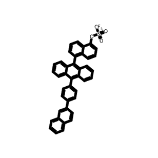 O=S(=O)(Oc1cccc2c(-c3c4ccccc4c(-c4ccc(-c5ccc6ccccc6c5)cc4)c4ccccc34)cccc12)C(F)(F)F